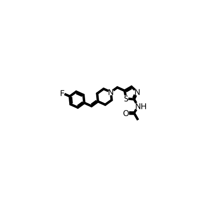 CC(=O)Nc1ncc(CN2CCC(=Cc3ccc(F)cc3)CC2)s1